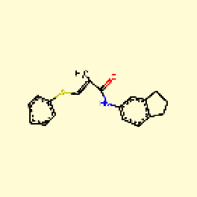 CC(=CSc1ccccc1)C(=O)Nc1ccc2c(c1)CCC2